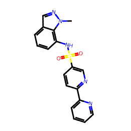 Cn1ncc2cccc(NS(=O)(=O)c3ccc(-c4ccccn4)nc3)c21